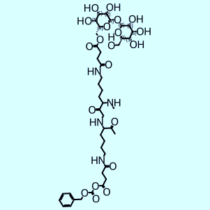 CNC(CCCCNC(=O)CCC(=O)OC[C@H]1O[C@H](O[C@H]2O[C@H](CO)[C@@H](O)[C@H](O)[C@H]2O)[C@H](O)[C@@H](O)[C@@H]1O)C(=O)CNC(CCCCNC(=O)CCC(=O)OC(=O)OCc1ccccc1)C(C)=O